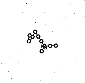 c1ccc(-c2ccc(-c3cc(-c4ccc(-c5ccc(-c6ccccc6-c6ccc7c8c(cccc68)-c6ccccc6-7)cc5)cc4)nc(-c4ccccc4)n3)cc2)cc1